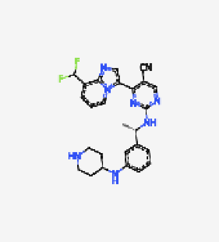 C[C@H](Nc1ncc(C#N)c(-c2cnc3c(C(F)F)cccn23)n1)c1cccc(NC2CCNCC2)c1